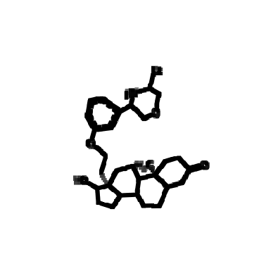 CCC1COCC(c2cccc(OCC[C@]34CCC5C(CCC6CC(=O)CC[C@@]65C)C3CCC4O)c2)N1